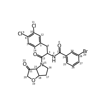 O=C(NC(Cc1ccc(Cl)c(Cl)c1)C(=O)N1CCC2OCC(=O)C21)c1cccc(Br)c1